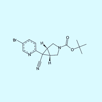 CC(C)(C)OC(=O)N1C[C@@H]2[C@H](C1)C2(C#N)c1ccc(Br)cn1